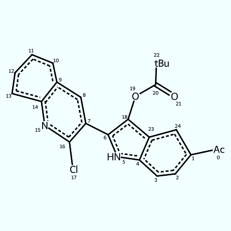 CC(=O)c1ccc2[nH]c(-c3cc4ccccc4nc3Cl)c(OC(=O)C(C)(C)C)c2c1